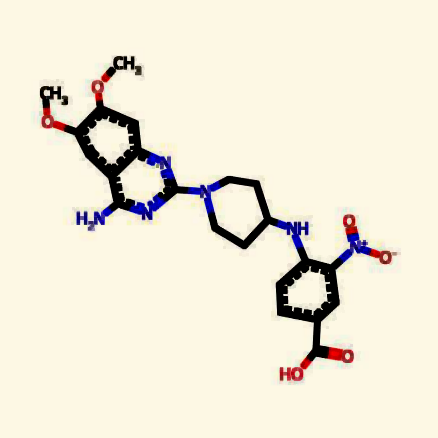 COc1cc2nc(N3CCC(Nc4ccc(C(=O)O)cc4[N+](=O)[O-])CC3)nc(N)c2cc1OC